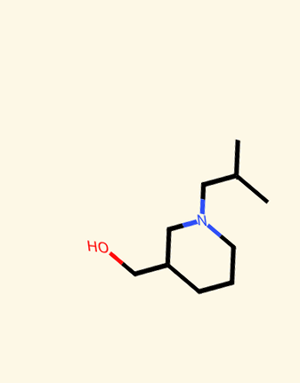 C[C](C)CN1CCCC(CO)C1